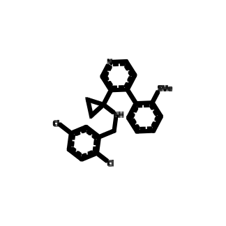 CSc1ccccc1-c1ccncc1C1(NCc2cc(Cl)ccc2Cl)CC1